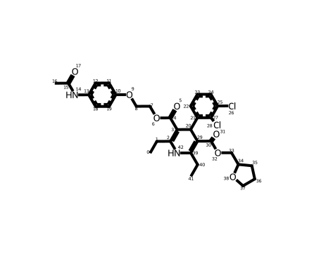 CCC1=C(C(=O)OCCOc2ccc(NC(C)=O)cc2)C(c2cccc(Cl)c2Cl)C(C(=O)OCC2CCCO2)=C(CC)N1